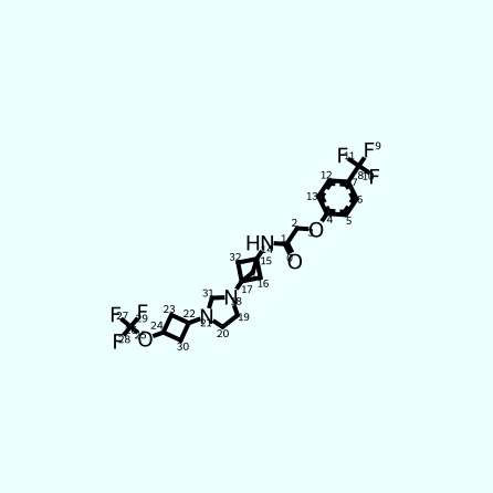 O=C(COc1ccc(C(F)(F)F)cc1)NC12CC(N3CCN(C4CC(OC(F)(F)F)C4)C3)(C1)C2